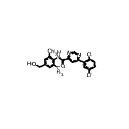 Cc1cc(CO)cc(C)c1NC(=O)c1cc(-c2cc(Cl)ccc2Cl)ncn1